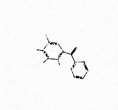 Nc1c(O)c(Cl)cc(C(=O)c2ccccc2)c1O